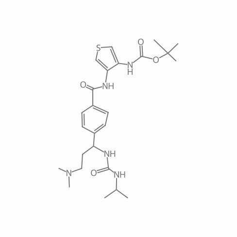 CC(C)NC(=O)NC(CCN(C)C)c1ccc(C(=O)Nc2cscc2NC(=O)OC(C)(C)C)cc1